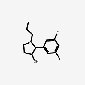 CCCN1CCC(O)C1c1cc(F)cc(F)c1